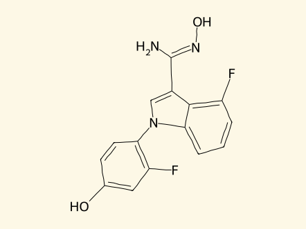 NC(=NO)c1cn(-c2ccc(O)cc2F)c2cccc(F)c12